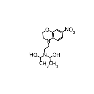 CC(O)N(CCN1CCOc2cc([N+](=O)[O-])ccc21)C(C)O